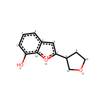 Oc1cccc2cc(C3CCOC3)oc12